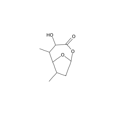 CC1CC2OC(=O)C(O)C(C)C1O2